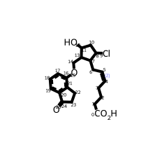 O=C(O)CCC/C=C\CC1C(Cl)CC(O)C1COc1cccc2c1CCC2=O